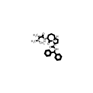 C[C@@H](C(=O)N[C@H]1CCC[C@H]2CC[C@@H](C(=O)NC(c3ccccc3)c3ccccc3)N2C1=O)N(C)C